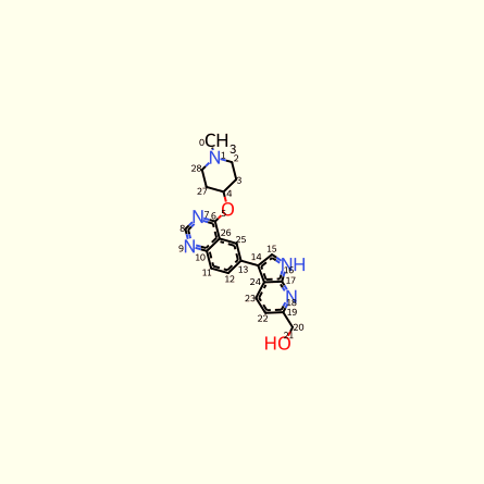 CN1CCC(Oc2ncnc3ccc(-c4c[nH]c5nc(CO)ccc45)cc23)CC1